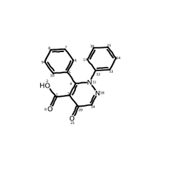 O=C(O)c1c(-c2ccccc2)n(-c2ccccc2)ncc1=O